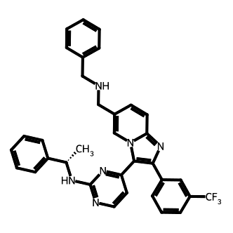 C[C@H](Nc1nccc(-c2c(-c3cccc(C(F)(F)F)c3)nc3ccc(CNCc4ccccc4)cn23)n1)c1ccccc1